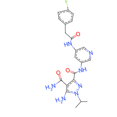 CC(C)n1nc(C(=O)Nc2cncc(NC(=O)Cc3ccc(F)cc3)c2)c(C(N)=O)c1N